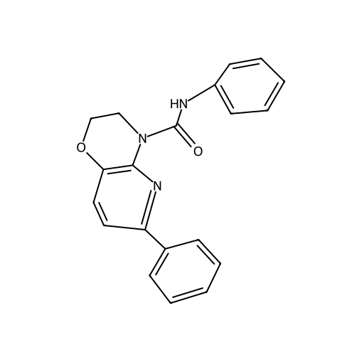 O=C(Nc1ccccc1)N1CCOc2ccc(-c3ccccc3)nc21